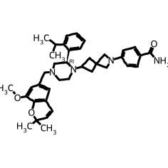 COc1cc(CN2CCN(C3CC4(C3)CN(c3ccc(C(N)=O)cc3)C4)[C@H](c3ccccc3C(C)C)C2)cc2c1OC(C)(C)C=C2